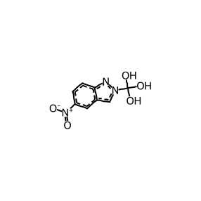 O=[N+]([O-])c1ccc2nn(C(O)(O)O)cc2c1